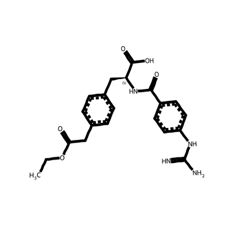 CCOC(=O)Cc1ccc(C[C@H](NC(=O)c2ccc(NC(=N)N)cc2)C(=O)O)cc1